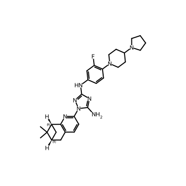 CC1(C)[C@H]2Cc3ccc(-n4nc(Nc5ccc(N6CCC(N7CCCC7)CC6)c(F)c5)nc4N)nc3[C@@H]1C2